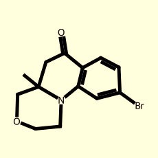 CC12COCCN1c1cc(Br)ccc1C(=O)C2